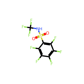 O=S(=O)(NC(F)(F)F)c1c(F)c(F)c(F)c(F)c1F